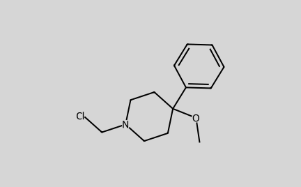 COC1(c2ccccc2)CCN(CCl)CC1